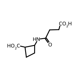 O=C(O)CCC(=O)NC1CCC1C(=O)O